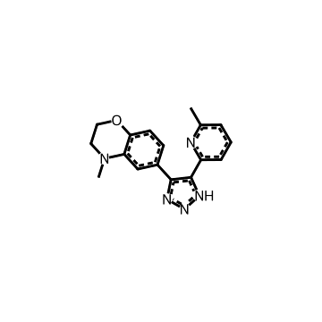 Cc1cccc(-c2[nH]nnc2-c2ccc3c(c2)N(C)CCO3)n1